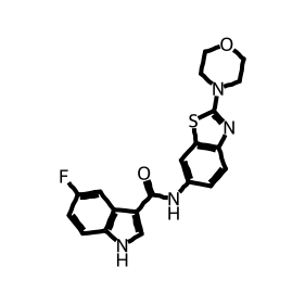 O=C(Nc1ccc2nc(N3CCOCC3)sc2c1)c1c[nH]c2ccc(F)cc12